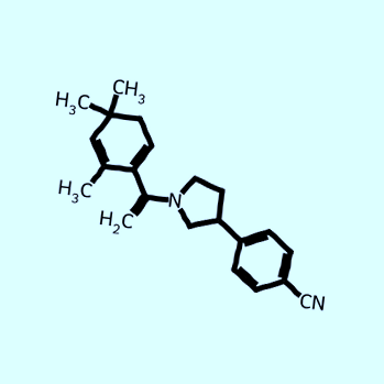 C=C(C1=CCC(C)(C)C=C1C)N1CCC(c2ccc(C#N)cc2)C1